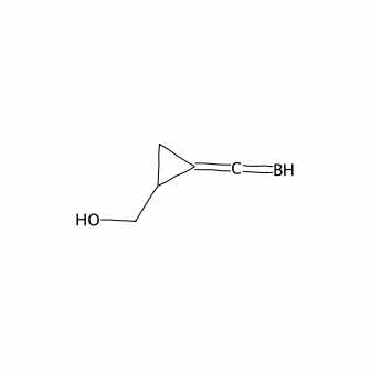 B=C=C1CC1CO